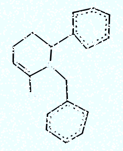 CC1=CCCC(c2ccccc2)N1Cc1ccccc1